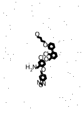 NCc1cc(Cl)c(OCc2cccc(-c3cccc(OCCCC=O)c3)c2Cl)cc1OCc1ccc2nonc2c1